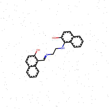 Oc1ccc2ccccc2c1C=NCCNc1c(O)ccc2ccccc12